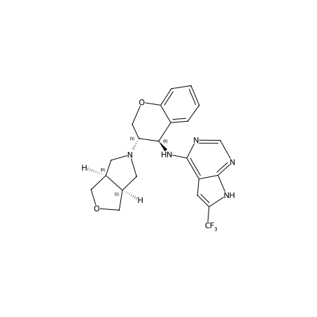 FC(F)(F)c1cc2c(N[C@@H]3c4ccccc4OC[C@H]3N3C[C@H]4COC[C@H]4C3)ncnc2[nH]1